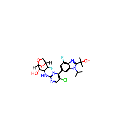 CC(C)n1c(C(C)(C)O)nc2c(F)cc(-c3nc(N[C@H]4[C@H](O)[C@@H]5OC[C@@H](O5)[C@H]4F)ncc3Cl)cc21